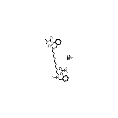 CBr.CBr.CC(C)N(CCCCCCCCCCN(Cc1ccccc1OC(=O)N(C)C)C(C)C)Cc1ccccc1OC(=O)N(C)C